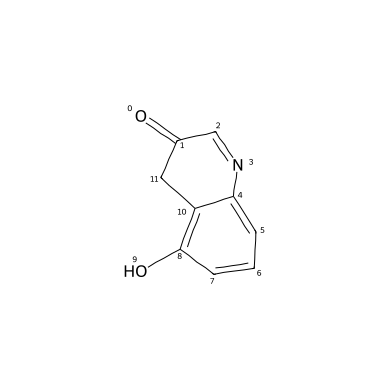 O=C1C=Nc2cccc(O)c2C1